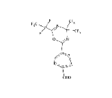 O=Cc1ccc(C2=NC(C(F)(F)F)(C(F)(F)F)N=C(C(F)(F)C(F)(F)F)O2)cc1